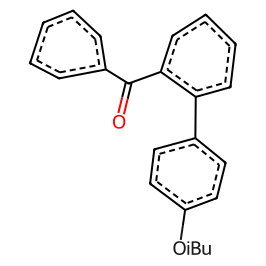 CC(C)COc1ccc(-c2ccccc2C(=O)c2ccccc2)cc1